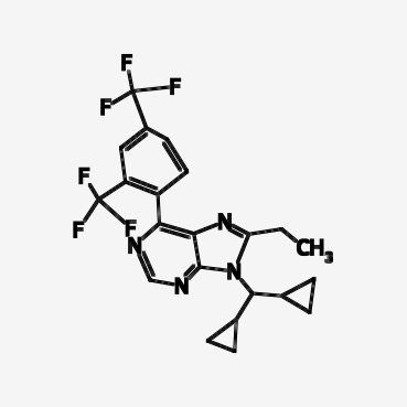 CCc1nc2c(-c3ccc(C(F)(F)F)cc3C(F)(F)F)ncnc2n1C(C1CC1)C1CC1